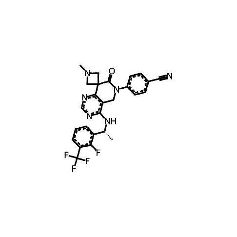 C[C@@H](Nc1ncnc2c1CN(c1ccc(C#N)cc1)C(=O)C21CN(C)C1)c1cccc(C(F)(F)F)c1F